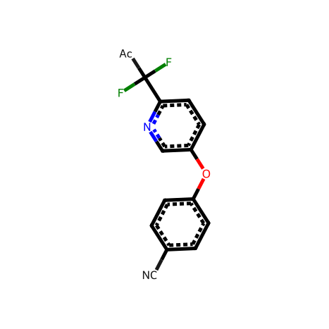 CC(=O)C(F)(F)c1ccc(Oc2ccc(C#N)cc2)cn1